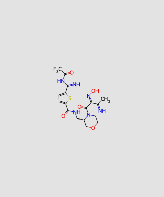 CC(=N)/C(=N\O)C(=O)N1CCOC[C@H]1CNC(=O)c1ccc(C(=N)NC(=O)C(F)(F)F)s1